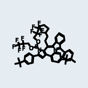 Cc1ccc(C2=N/C(=C(/CCC3CCCC3)c3c(-c4ccc(C(C)(C)C)cc4)cc(-c4ccc(C(C)(C)C)cc4)n3B(OCC(F)(F)C(F)(F)F)OCC(F)(F)C(F)(F)F)c3ccccc32)cc1